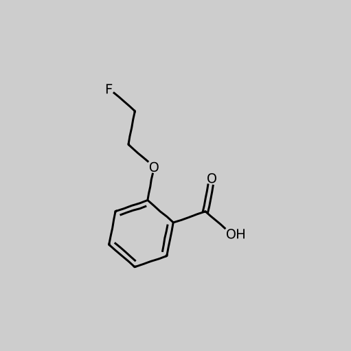 O=C(O)c1ccccc1OCCF